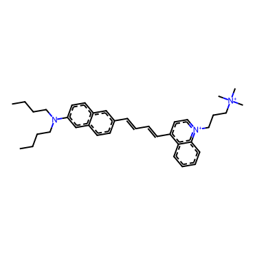 CCCCN(CCCC)c1ccc2cc(/C=C/C=C/c3cc[n+](CCC[N+](C)(C)C)c4ccccc34)ccc2c1